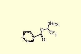 CCCCCCC(OC(=O)c1cc[c]cc1)C(F)(F)F